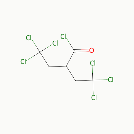 O=C(Cl)C(CC(Cl)(Cl)Cl)CC(Cl)(Cl)Cl